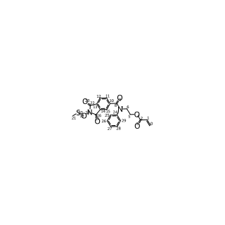 C=CC(=O)OCCN(C(=O)c1ccc2c(c1)C(=O)N(OSC)C2=O)c1ccccc1